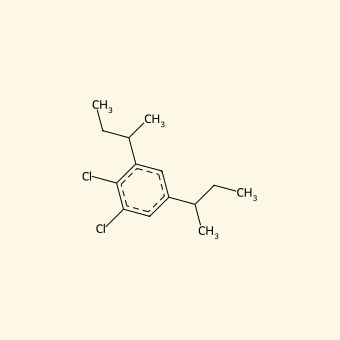 CCC(C)c1cc(Cl)c(Cl)c(C(C)CC)c1